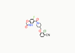 N#Cc1cccc(OCC2CCN(C(=O)c3cc4c(cc3F)OCC(=O)N4)CC2)c1Cl